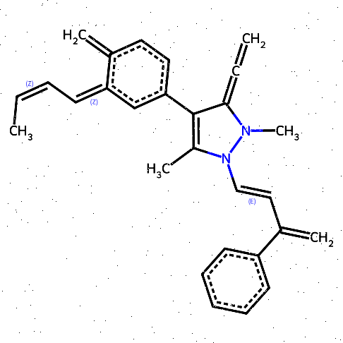 C=C=C1C(c2ccc(=C)/c(=C\C=C/C)c2)=C(C)N(/C=C/C(=C)c2ccccc2)N1C